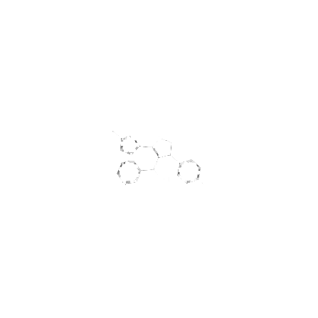 OC(C1=C(c2ccc(Cl)s2)SCC1c1ccc(Cl)cc1)c1cccnc1